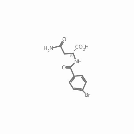 NC(=O)C[C@@H](NC(=O)c1ccc(Br)cc1)C(=O)O